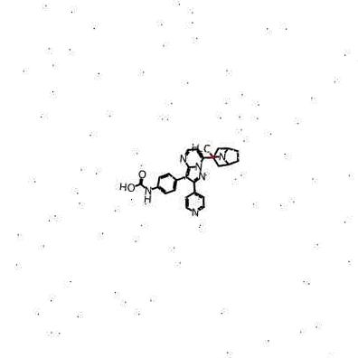 CCN1C2CCC1CC(c1ccnc3c(-c4ccc(NC(=O)O)cc4)c(-c4ccncc4)nn13)C2